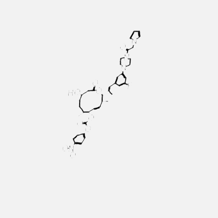 C/C(=C\c1cc(F)cc(N2CCN(C(=O)Cn3cccc3)CC2)c1)[C@H]1OC(=O)C[C@H](O)CC[C@H](C)[C@@H](OC(=O)Oc2ccc([N+](=O)[O-])cc2)/C=C/[C@@H]1C